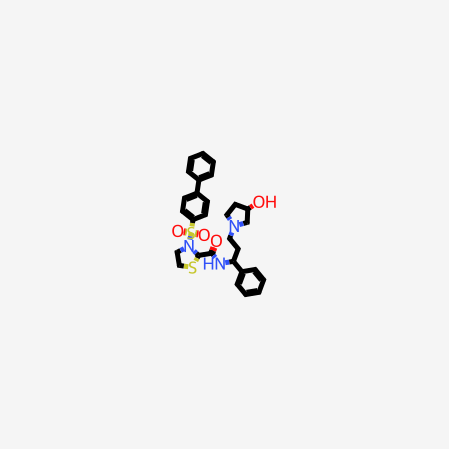 O=C(NC(CCN1CCC(O)C1)c1ccccc1)C1SCCN1S(=O)(=O)c1ccc(-c2ccccc2)cc1